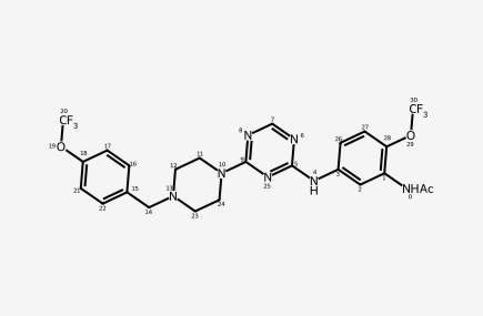 CC(=O)Nc1cc(Nc2ncnc(N3CCN(Cc4ccc(OC(F)(F)F)cc4)CC3)n2)ccc1OC(F)(F)F